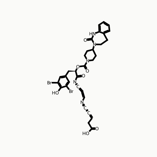 O=C(O)CC=C=C=NC=C=C=NC(=O)[C@@H](Cc1cc(Br)c(O)c(Br)c1)OC(=O)N1CCC(N2CCc3ccccc3NC2=O)CC1